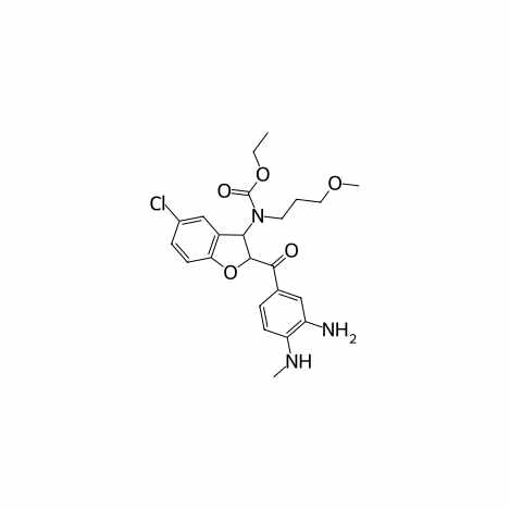 CCOC(=O)N(CCCOC)C1c2cc(Cl)ccc2OC1C(=O)c1ccc(NC)c(N)c1